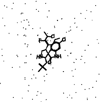 CCC/C(=C(/F)C(C)Cl)[C@@H]1CN[C@H](CC(C)(C)C)[C@@]12C(=O)Nc1cc(Cl)ccc12